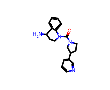 NC1CCN(C(=O)N2CCC(c3cccnc3)C2)c2ccccc21